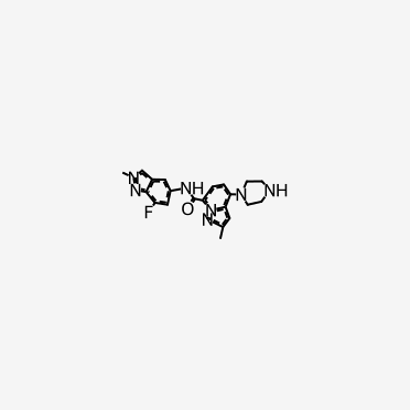 Cc1cc2c(N3CCNCC3)ccc(C(=O)Nc3cc(F)c4nn(C)cc4c3)n2n1